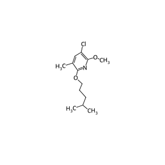 COc1nc(OCCCC(C)C)c(C)cc1Cl